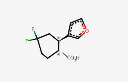 O=C(O)[C@@H]1CCC(F)(F)C[C@H]1c1ccoc1